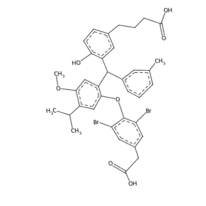 COc1cc(C(c2cccc(C)c2)c2cc(CCCC(=O)O)ccc2O)c(Oc2c(Br)cc(CC(=O)O)cc2Br)cc1C(C)C